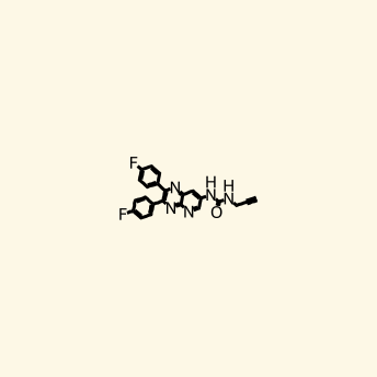 C#CCNC(=O)Nc1cnc2nc(-c3ccc(F)cc3)c(-c3ccc(F)cc3)nc2c1